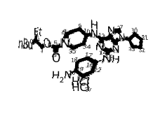 CCCCC(CC)COC(=O)N1CCC(Nc2nc(N[C@H]3CC[C@H](N)CC3)nc3c2ncn3C2CCCC2)CC1.Cl.Cl